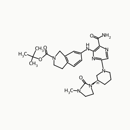 CN1CCN([C@@H]2CCCN(c3cnc(C(N)=O)c(Nc4ccc5c(c4)CN(C(=O)OC(C)(C)C)CC5)n3)C2)C1=O